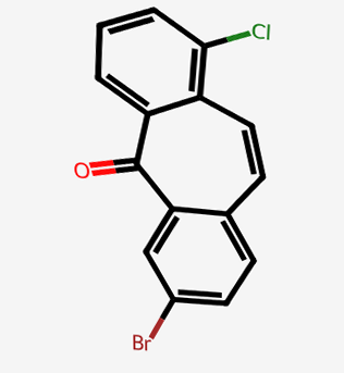 O=c1c2cc(Br)ccc2ccc2c(Cl)cccc12